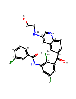 O=C(Nc1cc(F)cc(C(=O)c2ccc3ncc(NCCO)cc3c2)c1F)c1cccc(F)c1